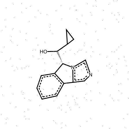 OC(C1CC1)[C@H]1c2ccccc2-c2cncn21